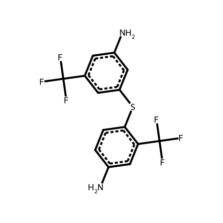 Nc1cc(Sc2ccc(N)cc2C(F)(F)F)cc(C(F)(F)F)c1